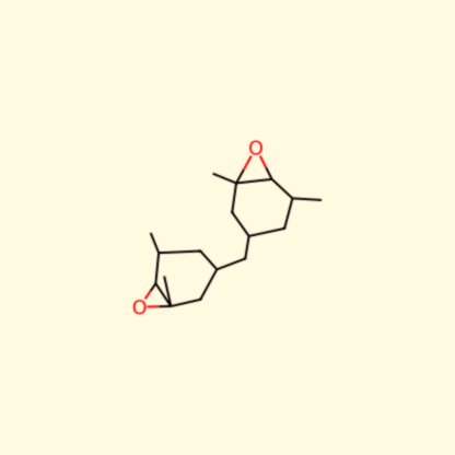 CC1CC(CC2CC(C)C3OC3(C)C2)CC2(C)OC12